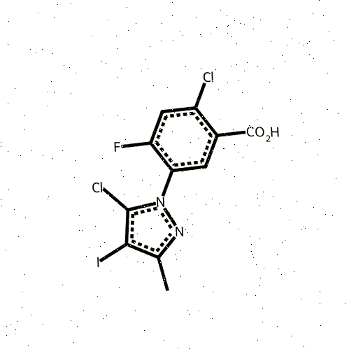 Cc1nn(-c2cc(C(=O)O)c(Cl)cc2F)c(Cl)c1I